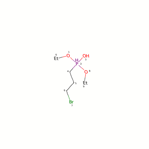 CCO[PH](O)(CCCBr)OCC